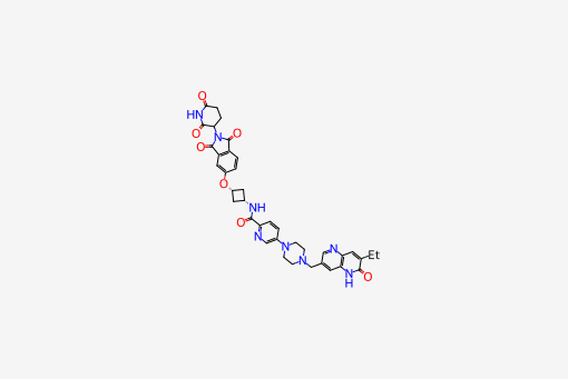 CCc1cc2ncc(CN3CCN(c4ccc(C(=O)N[C@H]5C[C@@H](Oc6ccc7c(c6)C(=O)N(C6CCC(=O)NC6=O)C7=O)C5)nc4)CC3)cc2[nH]c1=O